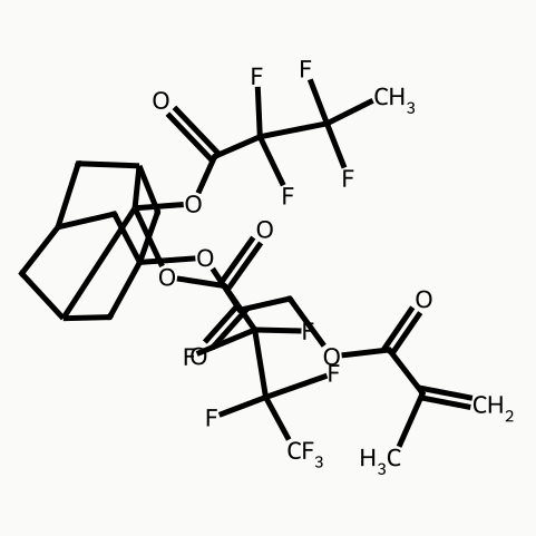 C=C(C)C(=O)OCC(=O)OC12CC3CC(C1)C(OC(=O)C(F)(F)C(C)(F)F)(OC(=O)C(F)(F)C(F)(F)C(F)(F)F)C(C3)C2